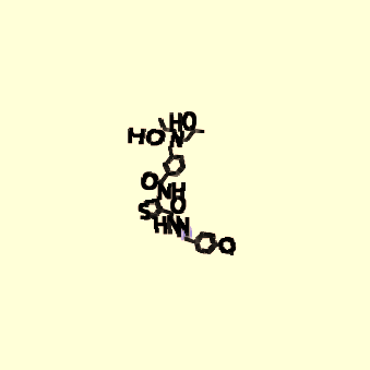 COc1ccc(/C=N/NC(=O)c2cscc2NC(=O)c2cccc(CN(CC(C)O)CC(C)O)c2)cc1